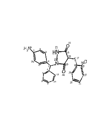 Nc1ccc(C(c2ccccc2)N2NC(=O)C(Sc3ccccc3Cl)C2=O)cc1